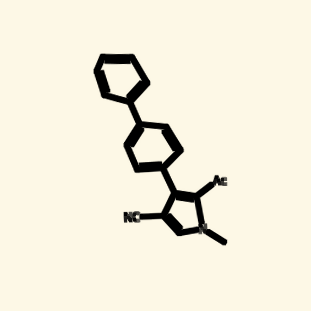 CC(=O)c1c(-c2ccc(-c3ccccc3)cc2)c(C#N)cn1C